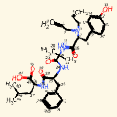 C=CCN(CC=C)[C@@H](Cc1ccc(O)cc1)C(=O)NC(C)(C)C(=O)N[C@@H](Cc1ccccc1)C(=O)N[C@@H](CC(C)C)C(=O)O